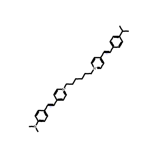 CC(C)c1ccc(/C=C/c2cc[n+](CCCCCC[n+]3ccc(/C=C/c4ccc(N(C)C)cc4)cc3)cc2)cc1